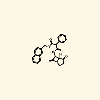 O=C(NC1C(=O)N2CCC(=O)[C@H]12)C(C(=O)OCc1ccc2ccccc2c1)c1ccccc1